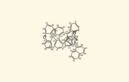 c1ccc(-c2nc(-c3cccc4c3-c3c(-c5cncc6ccccc56)cccc3C43c4ccccc4Oc4ccccc43)cc(-c3cccc4ccccc34)n2)cc1